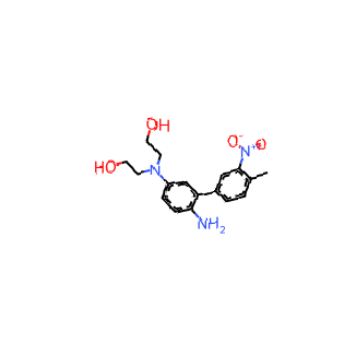 Cc1ccc(-c2cc(N(CCO)CCO)ccc2N)cc1[N+](=O)[O-]